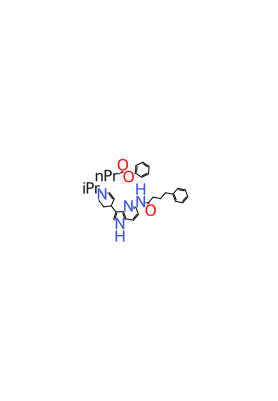 CC(C)N1C=CC(c2c[nH]c3ccc(NC(=O)CCCc4ccccc4)nc23)CC1.CCCC(=O)Oc1ccccc1